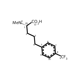 CN[C@@H](CCCc1ccc(C(F)(F)F)cc1)C(=O)O